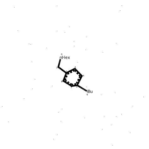 CCCCCC[CH]c1ccc(C(C)CC)cc1